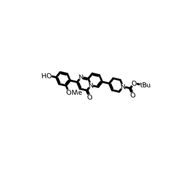 COc1cc(O)ccc1-c1cc(=O)n2cc(C3=CCN(C(=O)OC(C)(C)C)CC3)ccc2n1